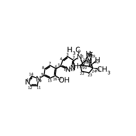 CN(c1ccc(-c2ccc(-n3ccnc3)cc2O)nn1)[C@H]1[C@@H]2CC[C@@](C)(NC2)[C@H]1F